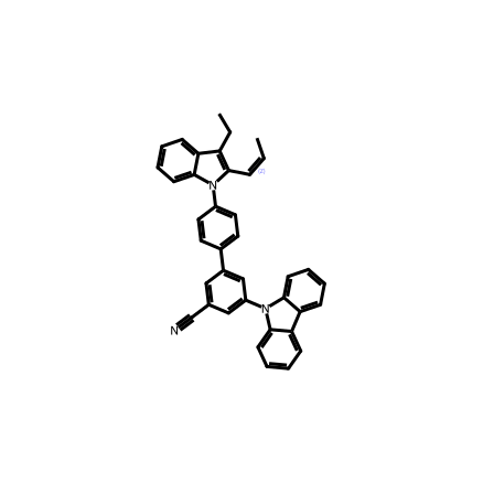 C/C=C\c1c(CC)c2ccccc2n1-c1ccc(-c2cc(C#N)cc(-n3c4ccccc4c4ccccc43)c2)cc1